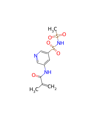 C=C(C)C(=O)Nc1cncc(S(=O)(=O)NS(C)(=O)=O)c1